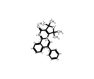 CC1(C)OC(C)(C)c2c1c(=O)nc1c3ccccc3c(-c3ccccc3)cn21